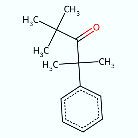 CC(C)(C)C(=O)C(C)(C)c1ccccc1